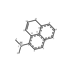 C[SiH](C)c1ccc2cccc3c2c1C=CC3